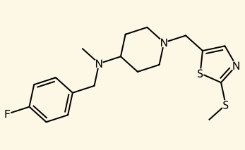 CSc1ncc(CN2CCC(N(C)Cc3ccc(F)cc3)CC2)s1